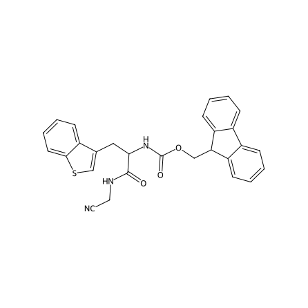 N#CCNC(=O)C(Cc1csc2ccccc12)NC(=O)OCC1c2ccccc2-c2ccccc21